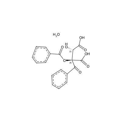 O.O=C(O[C@@](C(=O)O)(C(=O)c1ccccc1)[C@H](O)C(=O)O)c1ccccc1